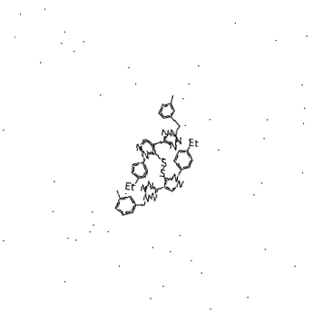 CCc1ccc(-n2ncc(-c3nnn(Cc4cccc(C)c4)n3)c2SSc2c(-c3nnn(Cc4cccc(C)c4)n3)cnn2-c2ccc(CC)cc2)cc1